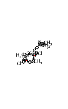 CC[C@@H]1CC(=O)N(Cc2c(F)cc(Cl)cc2Oc2ccc(-c3cnc(CN(C)C)n3C)cc2)[C@@H](C)C(=O)N[C@@H](COC)C(=O)N[C@@]2(Cc3ccc(Cl)cc3)CCCN(C2)C1=O